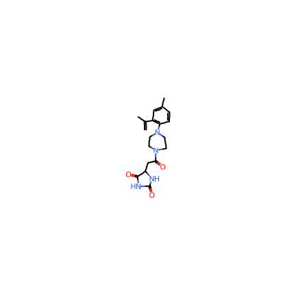 C=C(C)c1cc(C)ccc1N1CCN(C(=O)CC2NC(=O)NC2=O)CC1